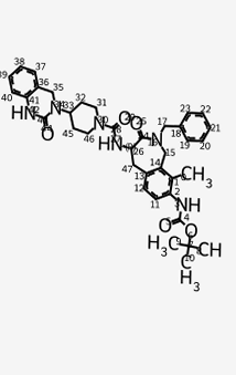 Cc1c(NC(=O)OC(C)(C)C)ccc2c1CN(Cc1ccccc1)C(=O)[C@H](NC(=O)N1CCC(N3Cc4ccccc4NC3=O)CC1)C2